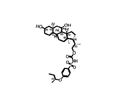 CC[C@H](C)Oc1ccc(S(=O)(=O)NC(=O)OC[C@@H](C)[C@H]2CC[C@H]3[C@@H]4[C@H](O)C[C@@H]5C[C@H](O)CC[C@]5(C)[C@H]4CC[C@]23C)cc1